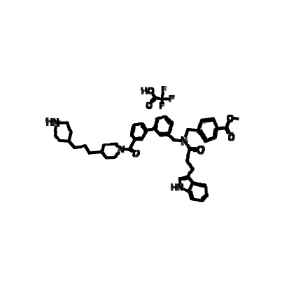 COC(=O)c1ccc(CN(Cc2cccc(-c3cccc(C(=O)N4CCC(CCCC5CCNCC5)CC4)c3)c2)C(=O)CCc2c[nH]c3ccccc23)cc1.O=C(O)C(F)(F)F